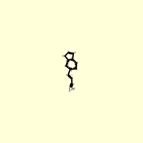 C#C/C=C/c1ccc2c(c1)CC=C2